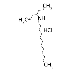 C=CCC(CC=C)NCCCCCCCCCCCC.Cl